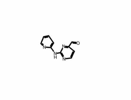 O=Cc1ccnc(Nc2ccccn2)n1